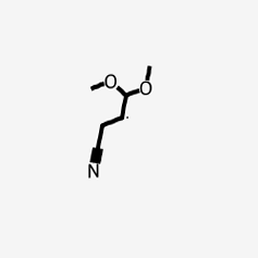 COC([CH]CC#N)OC